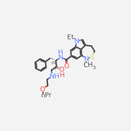 CCCOCCNC[C@@H](O)[C@H](Cc1ccccc1)NC(=O)c1cc2c3c(cn(CC)c3c1)CCSN2C